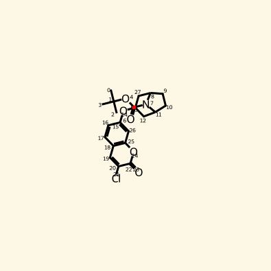 CC(C)(C)OC(=O)N1C2CCC1CC(Oc1ccc3cc(Cl)c(=O)oc3c1)C2